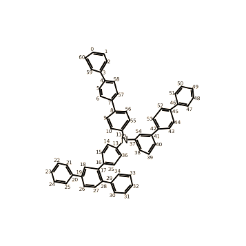 c1ccc(-c2ccc(-c3ccc(N(c4ccc(-c5cc(-c6ccccc6)ccc5-c5ccccc5)cc4)c4cccc(-c5ccc(-c6ccccc6)cc5)c4)cc3)cc2)cc1